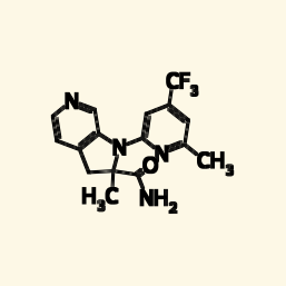 Cc1cc(C(F)(F)F)cc(N2c3cnccc3CC2(C)C(N)=O)n1